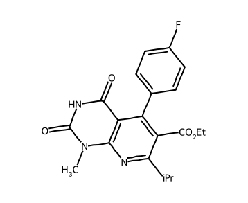 CCOC(=O)c1c(C(C)C)nc2c(c1-c1ccc(F)cc1)c(=O)[nH]c(=O)n2C